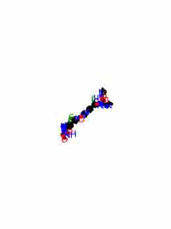 Cn1nc(N2CCC(=O)NC2=O)c2ccc(C3CCN(CC(=O)N4CCN(c5ccc(-c6cc(F)c7cn(C(C(=O)Nc8nccs8)c8ncn9c8CCC9)nc7c6)cc5)CC4)CC3(F)F)cc21